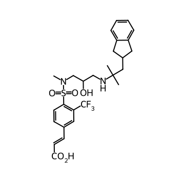 CN(CC(O)CNC(C)(C)CC1Cc2ccccc2C1)S(=O)(=O)c1ccc(C=CC(=O)O)cc1C(F)(F)F